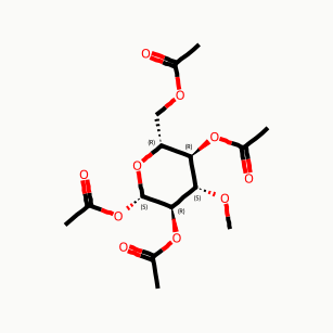 CO[C@@H]1[C@@H](OC(C)=O)[C@H](OC(C)=O)O[C@H](COC(C)=O)[C@H]1OC(C)=O